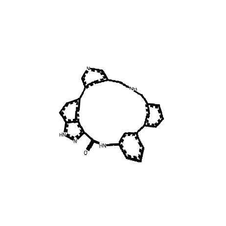 O=C1Nc2cccc(c2)-c2cccc(c2)CNCc2cncc(c2)-c2ccc3[nH]nc1c3c2